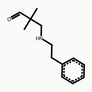 CC(C)(C=O)CNCCc1ccccc1